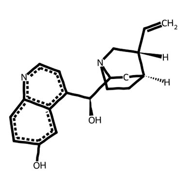 C=C[C@H]1CN2CC[C@H]1CC2[C@@H](O)c1ccnc2ccc(O)cc12